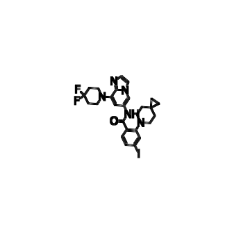 O=C(Nc1cc(N2CCC(F)(F)CC2)c2nccn2c1)c1ccc(I)cc1N1CCC2(CC1)CC2